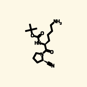 CC(C)(C)OC(=O)N[C@@H](CCCCN)C(=O)N1CCC[C@H]1C#N